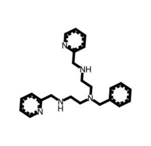 c1ccc(CN(CCNCc2ccccn2)CCNCc2ccccn2)cc1